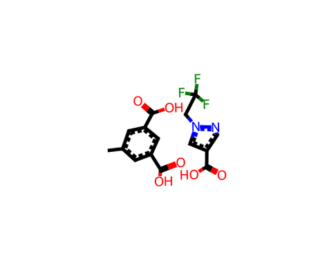 Cc1cc(C(=O)O)cc(C(=O)O)c1.O=C(O)c1cnn(CC(F)(F)F)c1